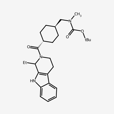 CCC1c2[nH]c3ccccc3c2CCN1C(=O)[C@H]1CC[C@H](CN(C)C(=O)OC(C)(C)C)CC1